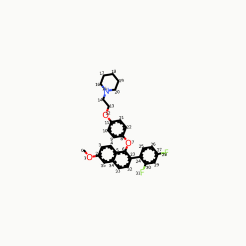 COc1ccc2c(Oc3ccc(OCCN4CCCCC4)cc3)c(-c3ccc(F)cc3F)ccc2c1